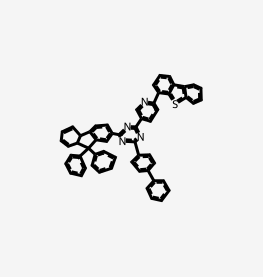 C1=CC2c3ccc(-c4nc(-c5ccc(-c6ccccc6)cc5)nc(-c5ccc(-c6cccc7c6sc6ccccc67)nc5)n4)cc3C(c3ccccc3)(c3ccccc3)C2C=C1